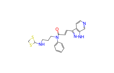 O=C(/C=C/c1n[nH]c2cnccc12)N(CCCNC1SCS1)c1ccccc1